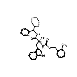 Cc1ccccc1COC(=O)N[C@@](C)(Cc1c[nH]c2ccccc12)C(=O)NC(c1ccccn1)C1CCCCC1